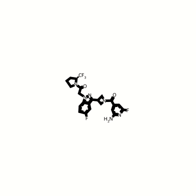 Nc1cc(C(=O)N2CC(c3nn(CC(=O)N4CCC[C@H]4C(F)(F)F)c4ccc(F)cc34)C2)cc(F)n1